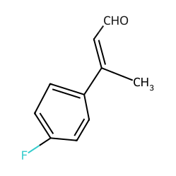 CC(=CC=O)c1ccc(F)cc1